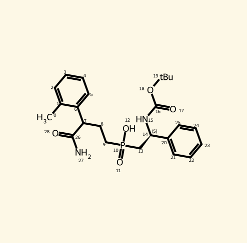 Cc1ccccc1C(CCP(=O)(O)C[C@@H](NC(=O)OC(C)(C)C)c1ccccc1)C(N)=O